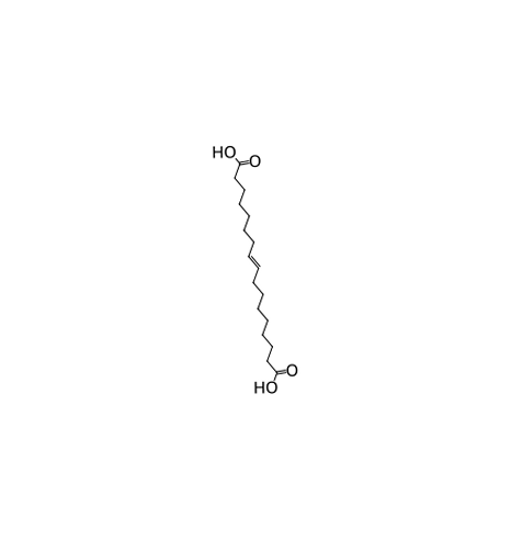 O=C(O)CCCCCCC=CCCCCCCCC(=O)O